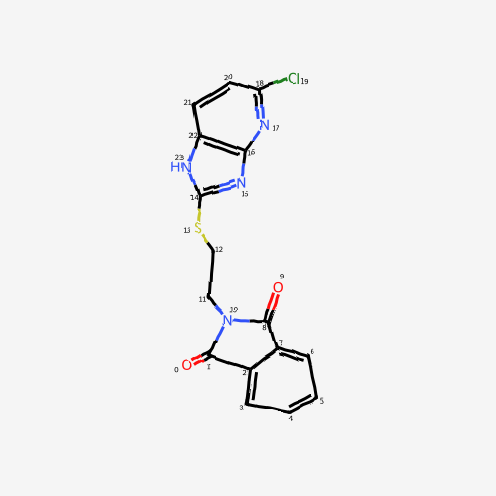 O=C1c2ccccc2C(=O)N1CCSc1nc2nc(Cl)ccc2[nH]1